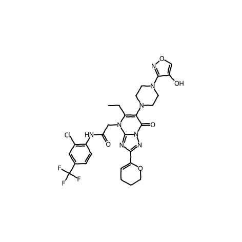 CCc1c(N2CCN(c3nocc3O)CC2)c(=O)n2nc(C3=CCCCO3)nc2n1CC(=O)Nc1ccc(C(F)(F)F)cc1Cl